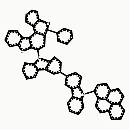 c1ccc(-c2nc3ccccc3c3c2cc(-n2c4ccccc4c4cc(-c5ccc6c(c5)c5ccccc5n6-c5ccc6ccc7cccc8ccc5c6c78)ccc42)c2oc4ccccc4c23)cc1